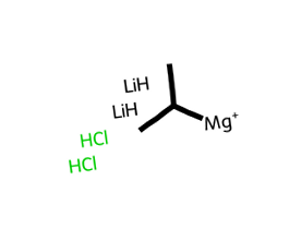 C[CH](C)[Mg+].Cl.Cl.[LiH].[LiH]